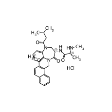 CN[C@@H](C)C(=O)N[C@H]1CN(C(=O)CC(C)C)c2ccccc2N(Cc2c(OC)ccc3ccccc23)C1=O.Cl